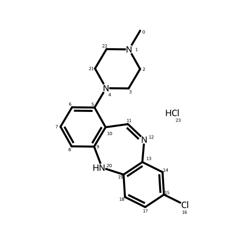 CN1CCN(c2cccc3c2C=Nc2cc(Cl)ccc2N3)CC1.Cl